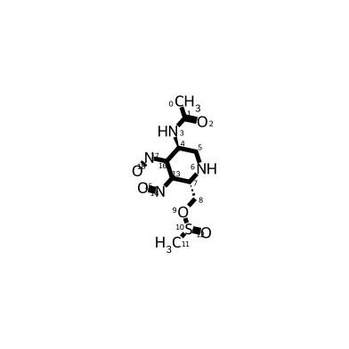 CC(=O)N[C@H]1CN[C@H](COS(C)=O)C(N=O)C1N=O